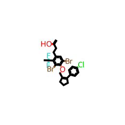 C=C(O)CCc1cc(Br)c(OCC2=C(c3ccc(Cl)cc3)CCC2)c(Br)c1C(C)(F)F